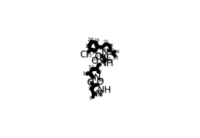 Cc1cc(Oc2ncc(C(=O)N[C@H](C)C(=O)N3C(c4cccc(Cl)c4)CC[C@@H]3C(C)(C)C#N)cc2C)c(=O)[nH]n1